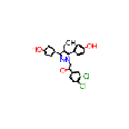 CCc1c(-c2ccc(O)cc2)nn(CC(=O)c2ccc(Cl)c(Cl)c2)c1-c1ccc(O)cc1